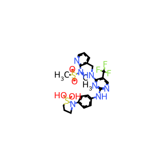 CN(c1ncccc1CNc1nc(Nc2ccc(N3CCCS3(O)O)cc2)ncc1C(F)(F)F)S(C)(=O)=O